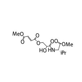 COC(=O)/C=C/C(=O)OCC(O)C(=O)N[C@H](C(=O)OC)C(C)C